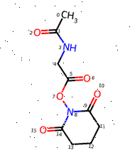 CC(=O)NCC(=O)ON1C(=O)CCCC1=O